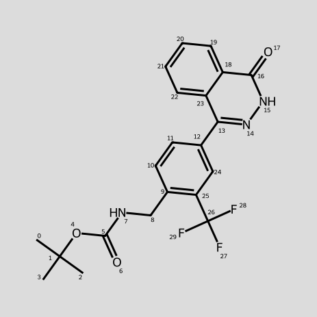 CC(C)(C)OC(=O)NCc1ccc(-c2n[nH]c(=O)c3ccccc23)cc1C(F)(F)F